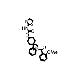 COc1ccccc1C(=O)NCC1(c2ccccc2)CCC(OC(=O)NC2=NCCS2)CC1